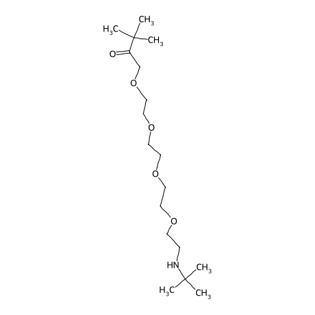 CC(C)(C)NCCOCCOCCOCCOCC(=O)C(C)(C)C